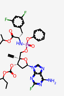 C#C[C@]1(CO[P@@](=O)(N[C@@H](Cc2cc(F)cc(F)c2)C(=O)OC(C)C)Oc2ccccc2)O[C@@H](n2cnc3c(N)nc(F)nc32)C[C@@H]1OC(=O)OC(CC)CC